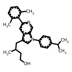 Cc1cccc(C)c1-c1cc2c(CC(C)CCO)cn(-c3ccc(C(C)C)cc3)c2cn1